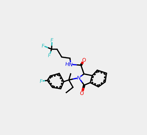 CCC(C)(c1ccc(F)cc1)N1C(=O)c2ccccc2C1C(=O)NCCCC(F)(F)F